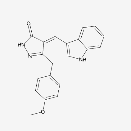 COc1ccc(CC2=NNC(=O)C2=Cc2c[nH]c3ccccc23)cc1